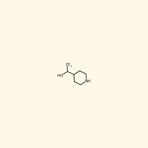 OC(C1CCNCC1)C(F)(F)F